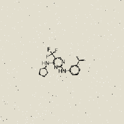 CC(C)c1cccc(Nc2ncc(C(F)(F)F)c(NC3CCCC3)n2)c1